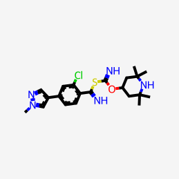 Cn1cc(-c2ccc(C(=N)SC(=N)OC3CC(C)(C)NC(C)(C)C3)c(Cl)c2)cn1